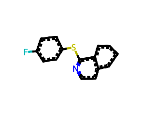 Fc1ccc(Sc2nccc3ccccc23)cc1